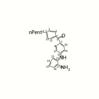 CCCCCc1ccc(C(=O)c2ccc(Nc3ccccc3N)cc2)cc1